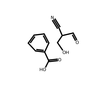 N#CC(C=O)CO.O=C(O)c1ccccc1